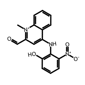 C[n+]1c(C=O)cc(Nc2c(O)cccc2[N+](=O)[O-])c2ccccc21